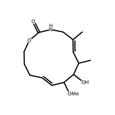 COC1/C=C/CCCOC(=O)NC/C(C)=C/C(C)C1O